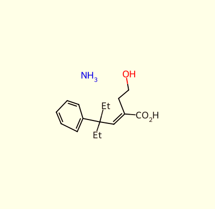 CCC(C=C(CCO)C(=O)O)(CC)c1ccccc1.N